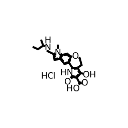 CCC(C)NCc1cc2cc3c(cc2n1C)OCCc1c-3[nH]c(=O)c(C(=O)O)c1O.Cl